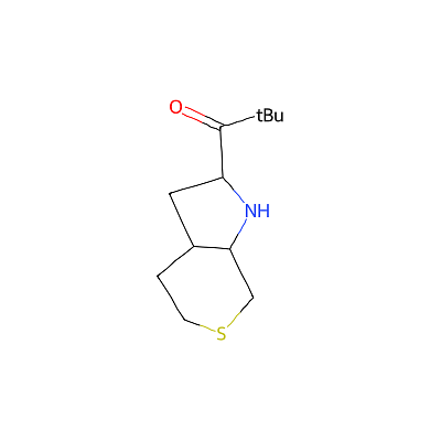 CC(C)(C)C(=O)C1CC2CCSCC2N1